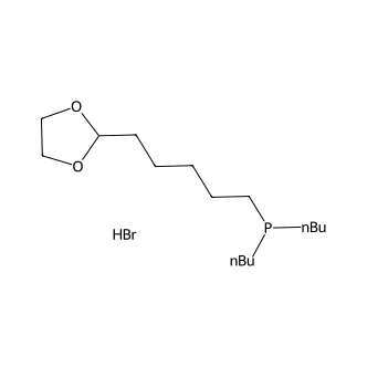 Br.CCCCP(CCCC)CCCCCC1OCCO1